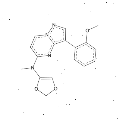 COc1ccccc1-c1cnn2ccc(N(C)C3=COCO3)nc12